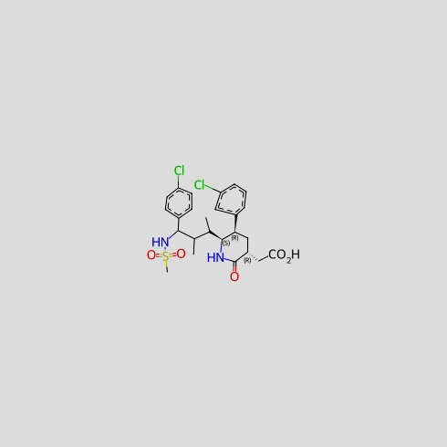 CC(C(NS(C)(=O)=O)c1ccc(Cl)cc1)C(C)[C@@H]1NC(=O)[C@@H](CC(=O)O)C[C@@H]1c1cccc(Cl)c1